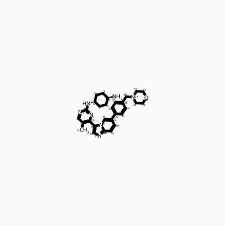 Cc1cnc(N[C@H]2CC[C@H](N)CC2)nc1-c1cnc2ccc(-c3ccc(CN4CCOCC4)cc3)cn12